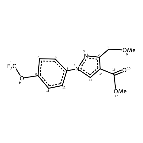 COCc1nn(-c2ccc(OC(F)(F)F)cc2)cc1C(=O)OC